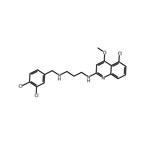 COc1cc(NCCCNCc2ccc(Cl)c(Cl)c2)nc2cccc(Cl)c12